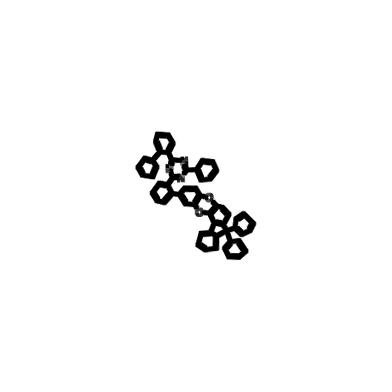 c1ccc(-c2nc(-c3ccccc3-c3ccccc3)nc(-c3ccccc3-c3ccc4c(c3)Oc3c(ccc5c3-c3ccccc3C5(c3ccccc3)c3ccccc3)O4)n2)cc1